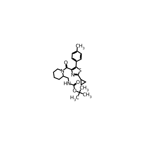 Cc1ccc(-c2sc(C3CC3)nc2C(=O)N2CCCCC2CNC(=O)OC(C)(C)C)cc1